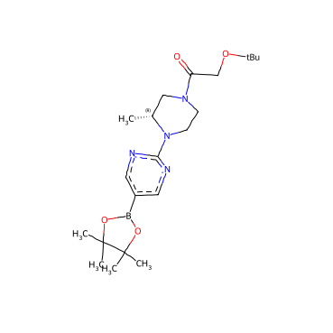 C[C@@H]1CN(C(=O)COC(C)(C)C)CCN1c1ncc(B2OC(C)(C)C(C)(C)O2)cn1